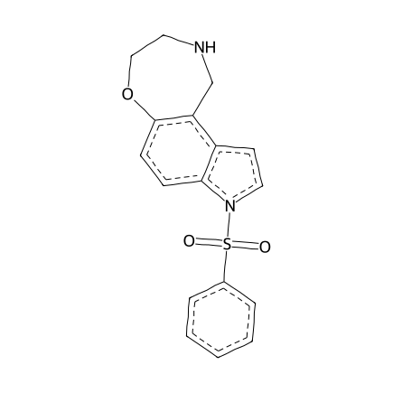 O=S(=O)(c1ccccc1)n1ccc2c3c(ccc21)OCCNC3